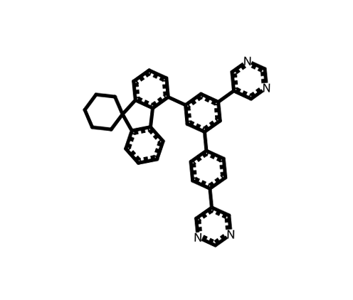 c1ccc2c(c1)-c1c(-c3cc(-c4ccc(-c5cncnc5)cc4)cc(-c4cncnc4)c3)cccc1C21CCCCC1